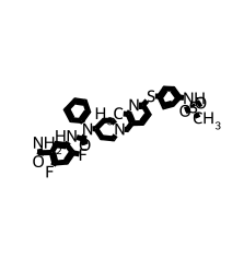 Cc1nc(Sc2ccc(NS(C)(=O)=O)cc2)ccc1CN1CCC(N(C(=O)Nc2cc(C(N)=O)c(F)cc2F)c2ccccc2)CC1